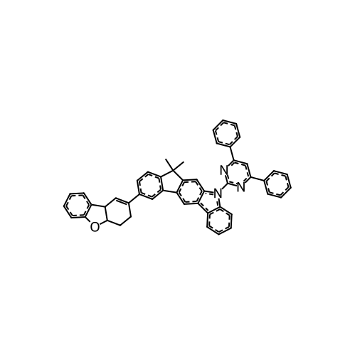 CC1(C)c2ccc(C3=CC4c5ccccc5OC4CC3)cc2-c2cc3c4ccccc4n(-c4nc(-c5ccccc5)cc(-c5ccccc5)n4)c3cc21